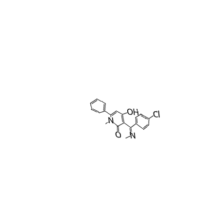 CN=C(c1ccc(Cl)cc1)c1c(O)cc(-c2ccccc2)n(C)c1=O